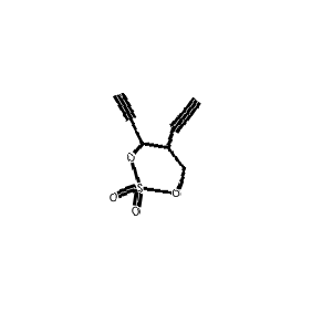 C#CC1COS(=O)(=O)OC1C#C